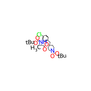 CC(NC(=O)OC(C)(C)C)C(=O)OC1(Cc2ccc(Cl)cc2)CCN(C(=O)OC(C)(C)C)CC1